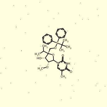 CO[C@H]1C(n2cc(C)c(=O)[nH]c2=O)O[C@@](CO[Si](c2ccccc2)(c2ccccc2)C(C)(C)C)(C(C)C)[C@H]1O